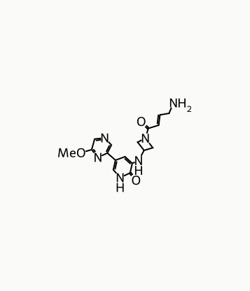 COc1cncc(-c2c[nH]c(=O)c(NC3CN(C(=O)C=CCN)C3)c2)n1